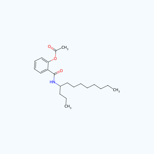 CCCCCCCCC(CCC)NC(=O)c1ccccc1OC(C)=O